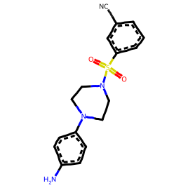 N#Cc1cccc(S(=O)(=O)N2CCN(c3ccc(N)cc3)CC2)c1